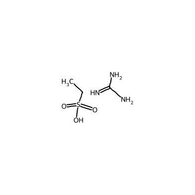 CCS(=O)(=O)O.N=C(N)N